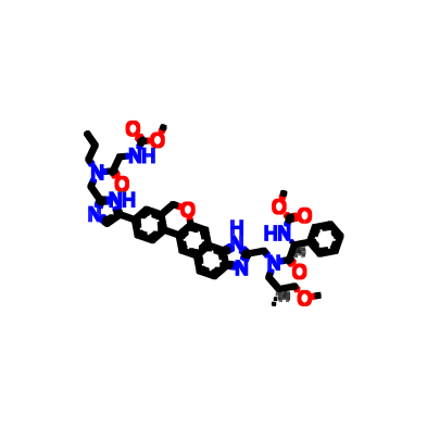 CCCN(Cc1ncc(-c2ccc3c(c2)COc2cc4c(ccc5nc(CN(C[C@@H](C)COC)C(=O)[C@H](NC(=O)OC)c6ccccc6)[nH]c54)cc2-3)[nH]1)C(=O)CNC(=O)OC